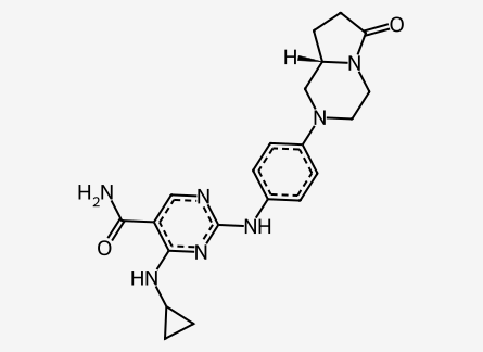 NC(=O)c1cnc(Nc2ccc(N3CCN4C(=O)CC[C@H]4C3)cc2)nc1NC1CC1